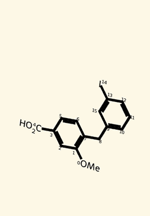 COc1cc(C(=O)O)ccc1Cc1cccc(I)c1